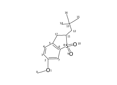 COc1ccc2c(c1)S(=O)(=O)C(CC(C)(C)C)C2